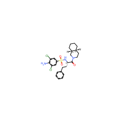 Nc1c(Cl)cc(S(=O)(=O)N[C@@H](CCc2ccccc2)C(=O)N2CC[C@H]3CCCC[C@H]3C2)cc1Cl